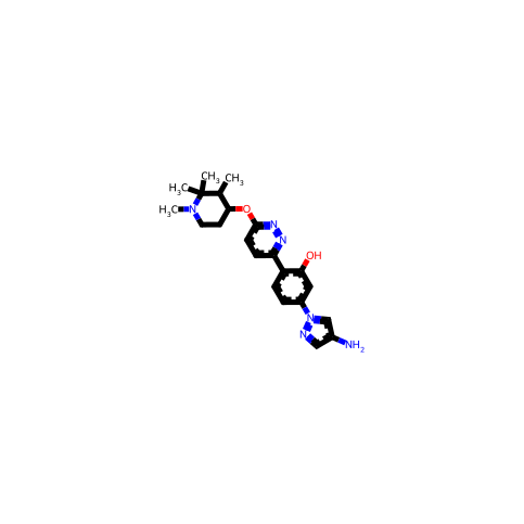 CC1C(Oc2ccc(-c3ccc(-n4cc(N)cn4)cc3O)nn2)CCN(C)C1(C)C